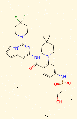 O=C(Nc1cc2cccn2c(N2CCC(F)(F)CC2)n1)c1ccc(NS(=O)(=O)CCO)cc1N1CCC2(CC1)CC2